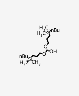 CCCC[Si](C)(C)CCCOP(O)OCCC[Si](C)(C)CCCC